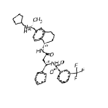 C[C@@H](NC1CCCC1)c1ccc2c(c1)CCC[C@H]2NC(=O)C[C@@H](NS(=O)(=O)c1cccc(C(F)(F)F)c1)c1ccccc1